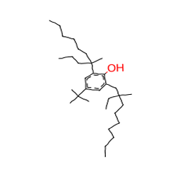 CCCCCCCC(C)(CC)Cc1cc(C(C)(C)C)cc(C(C)(CCC)CCCCCC)c1O